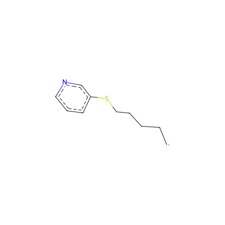 [CH2]CCCCSc1cccnc1